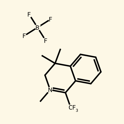 C[N+]1=C(C(F)(F)F)c2ccccc2C(C)(C)C1.F[B-](F)(F)F